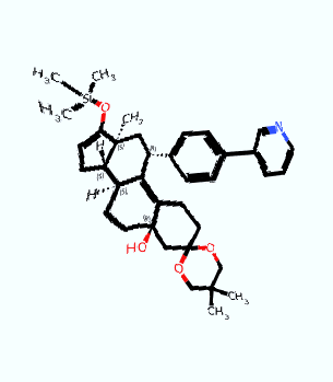 CC1(C)COC2(CCC3=C4[C@@H](CC[C@@]3(O)C2)[C@@H]2CC=C(O[Si](C)(C)C)[C@@]2(C)C[C@@H]4c2ccc(-c3cccnc3)cc2)OC1